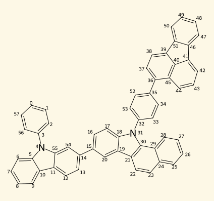 c1ccc(-n2c3ccccc3c3ccc(-c4ccc5c(c4)c4ccc6ccccc6c4n5-c4ccc(-c5ccc6c7c(cccc57)-c5ccccc5-6)cc4)cc32)cc1